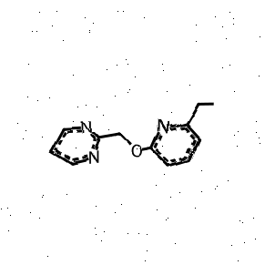 CCc1cccc(OCc2ncccn2)n1